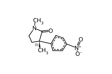 CN1CC[C@@](C)(c2ccc([N+](=O)[O-])cc2)C1=O